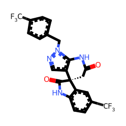 O=C1C[C@]2(C(=O)Nc3ccc(C(F)(F)F)cc32)c2cnn(Cc3ccc(C(F)(F)F)cc3)c2N1